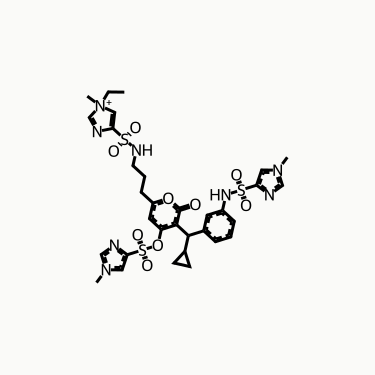 CC[N+]1(C)C=NC(S(=O)(=O)NCCCc2cc(OS(=O)(=O)c3cn(C)cn3)c(C(c3cccc(NS(=O)(=O)c4cn(C)cn4)c3)C3CC3)c(=O)o2)=C1